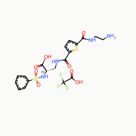 NCCNC(=O)c1ccc(C(=O)NC[C@H](NS(=O)(=O)c2ccccc2)C(=O)O)s1.O=C(O)C(F)(F)F